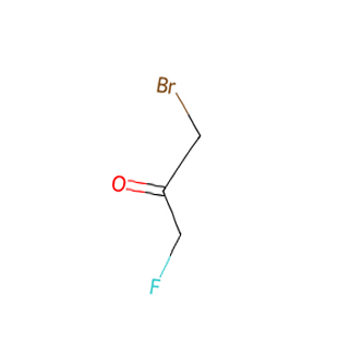 O=C(CF)CBr